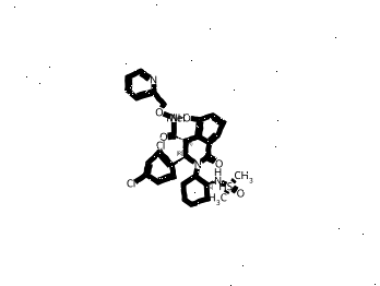 COc1cccc2c1[C@@H](C(=O)NOCc1ccccn1)[C@H](c1ccc(Cl)cc1Cl)N(C1CCCC[C@@H]1N[SH](C)(C)=O)C2=O